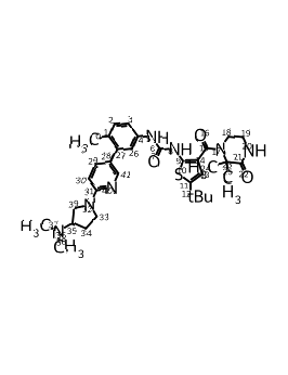 Cc1ccc(NC(=O)Nc2sc(C(C)(C)C)cc2C(=O)N2CCNC(=O)C2(C)C)cc1-c1ccc(N2CCC(N(C)C)C2)nc1